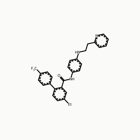 CCc1ccc(-c2ccc(C(F)(F)F)cc2)c(C(=O)Nc2ccc(NCCc3ccccn3)cc2)c1